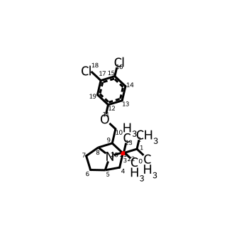 CC(C)C1CC2CCC(C1COc1ccc(Cl)c(Cl)c1)N2C(C)C